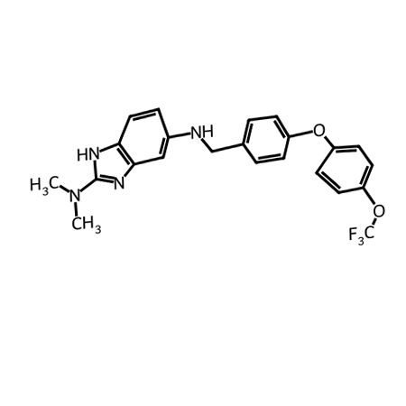 CN(C)c1nc2cc(NCc3ccc(Oc4ccc(OC(F)(F)F)cc4)cc3)ccc2[nH]1